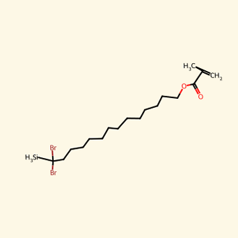 C=C(C)C(=O)OCCCCCCCCCCCCCC([SiH3])(Br)Br